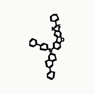 c1ccc(-c2ccc(N(c3ccc4cc(-c5ccccc5)ccc4c3)c3ccc4oc5cc6sc(-c7ccccc7)nc6cc5c4c3)cc2)cc1